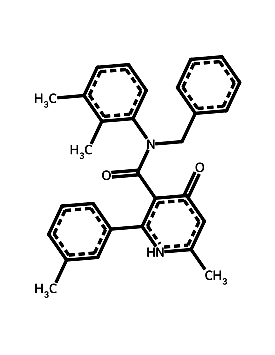 Cc1cccc(-c2[nH]c(C)cc(=O)c2C(=O)N(Cc2ccccc2)c2cccc(C)c2C)c1